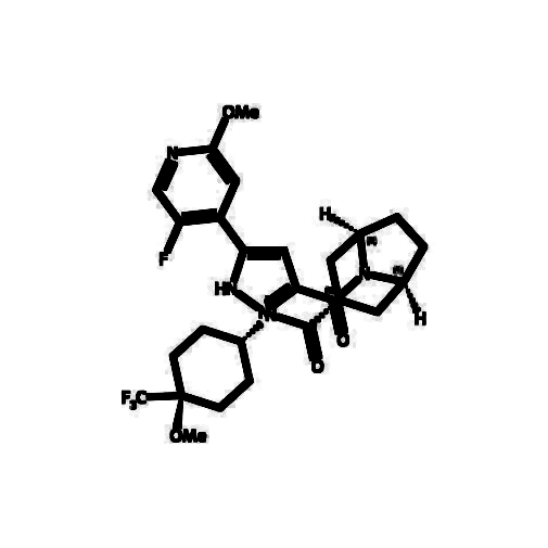 COc1cc(-c2cc(C(=O)N3[C@@H]4CC[C@H]3C[C@H](C(=O)N[C@H]3CC[C@@](OC)(C(F)(F)F)CC3)C4)n[nH]2)c(F)cn1